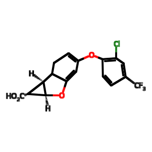 O=C(O)[C@H]1[C@@H]2OC3=CC(Oc4ccc(C(F)(F)F)cc4Cl)=CCC3[C@@H]21